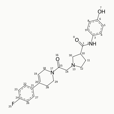 O=C(Nc1ccc(O)cc1)C1CCN(CC(=O)N2CC=C(c3ccc(F)cc3)CC2)C1